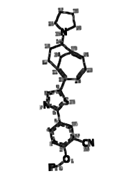 CC(C)Oc1ccc(-c2ncc(C3=C4CCC(N5CCCC5)C(=CC=C3)C4)s2)cc1C#N